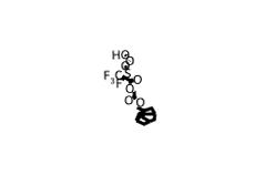 O=C(COC(=O)C(F)(SOOO)C(F)(F)F)OCC12CC3CC(CC(C3)C1)C2